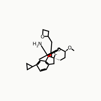 CO[C@H]1CC[C@]2(CC1)Cc1ccc(C3CC3)cc1[C@@]21N=C(N)N(CC2CCO2)C1=O